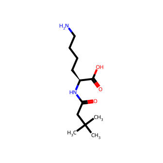 CC(C)(C)CC(=O)N[C@@H](CCCCN)C(=O)O